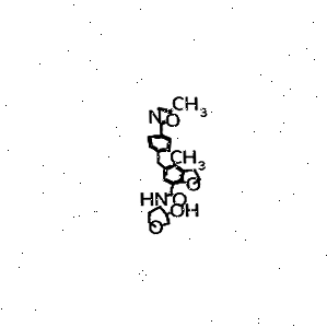 Cc1cnc(-c2ccc(Cc3cc(C(=O)N[C@H]4CCOC[C@@H]4O)c4c(c3C)CCO4)cc2)o1